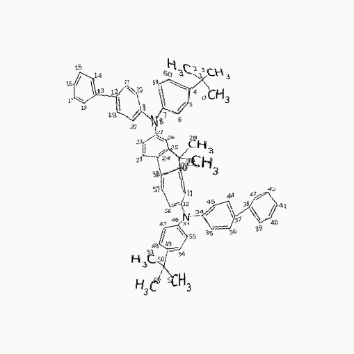 CC(C)(C)c1ccc(N(c2ccc(-c3ccccc3)cc2)c2ccc3c(c2)C(C)(C)c2cc(N(c4ccc(-c5ccccc5)cc4)c4ccc(C(C)(C)C)cc4)ccc2-3)cc1